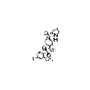 O=C([C@@H]1CCCN1)N1CCC(NS(=O)(=O)c2ccc(F)cc2C(F)(F)F)CC1